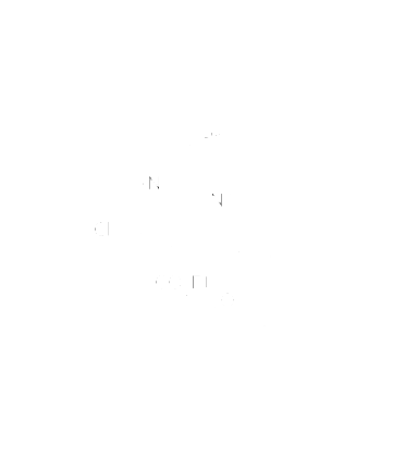 CCOC(=O)c1c(Cl)nc(C(C)C)nc1-c1ccco1